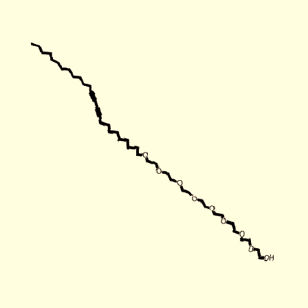 CCCCCCCCCCCCC#CC#CCCCCCCCCCOCCOCCOCCOCCOCCOCCOCCOCCO